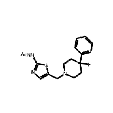 CC(=O)Nc1ncc(CN2CCC(F)(c3ccccc3)CC2)s1